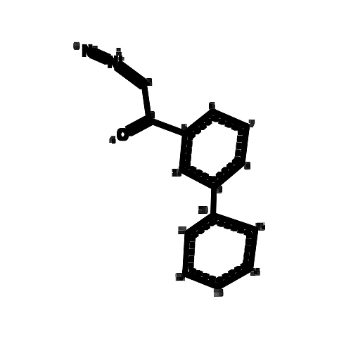 [N-]=[N+]=CC(=O)c1cccc(-c2ccccc2)c1